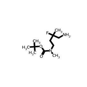 CN(CCC(C)(F)CN)C(=O)OC(C)(C)C